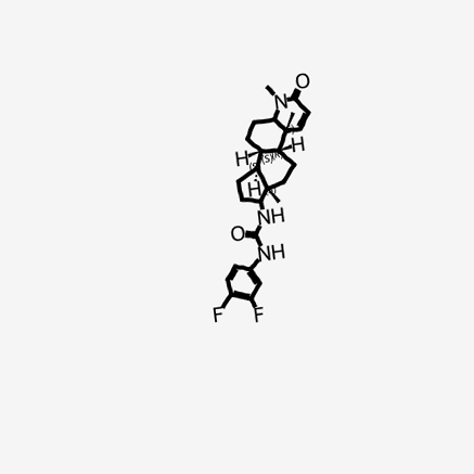 CN1C(=O)C=C[C@@]2(C)C1CC[C@@H]1[C@H]2CC[C@]2(C)C(NC(=O)Nc3ccc(F)c(F)c3)CC[C@@H]12